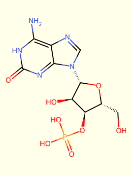 Nc1[nH]c(=O)nc2c1ncn2[C@@H]1O[C@H](CO)[C@@H](OP(=O)(O)O)[C@H]1O